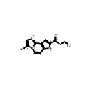 CCOC(=O)c1cc2c(ccn3c(Br)cnc23)[nH]1